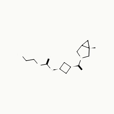 CCCOC(=O)N[C@H]1C[C@@H](C(=O)N2CC3C[C@@H]3C2)C1